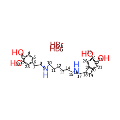 Br.Br.Oc1ccc(CCNCCCCCCNCC2Cc3cc(O)c(O)cc32)cc1O